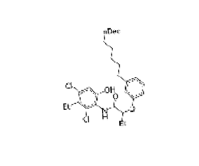 CCCCCCCCCCCCCCCc1cccc(OC(CC)C(=O)Nc2c(O)cc(Cl)c(CC)c2Cl)c1